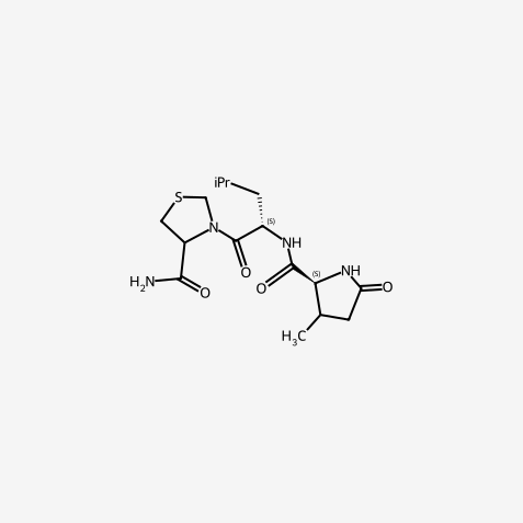 CC(C)C[C@H](NC(=O)[C@H]1NC(=O)CC1C)C(=O)N1CSCC1C(N)=O